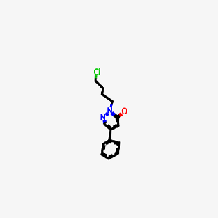 O=c1cc(-c2ccccc2)cnn1CCCCCl